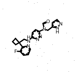 O=CN(Cc1ccn[nH]1)c1ccc(NCC2(c3ncccc3F)CCC2)nn1